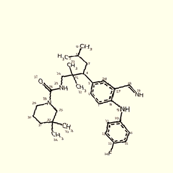 CC(C)CC(c1ccc(Nc2ccc(F)cc2)c(C=N)c1)C(C)(C)CNC(=O)N1CCCC(C)(C)C1